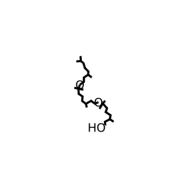 CC(C)CCCC(C)CCOC(C)(C)CCCC(C)CCOC(C)(C)CCCC(C)CCO